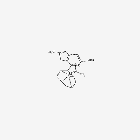 CC1=Cc2cc(C(C)(C)C)cc(C3[C]4CC5CC(C4)C(=[Si](C)C)C3C5)c2C1